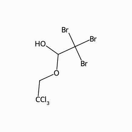 OC(OCC(Cl)(Cl)Cl)C(Br)(Br)Br